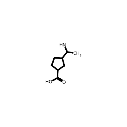 CC([NH])C1CCC(C(=O)O)C1